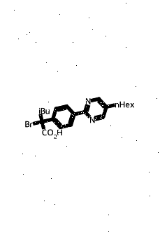 CCCCCCc1cnc(-c2ccc(C(Br)(C(=O)O)C(C)CC)cc2)nc1